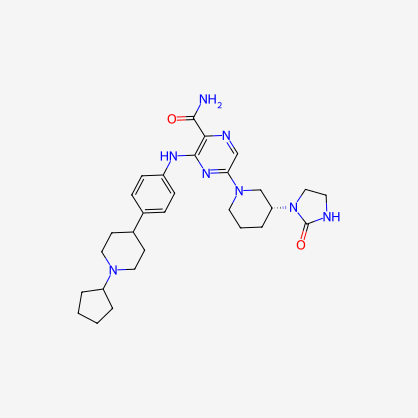 NC(=O)c1ncc(N2CCC[C@@H](N3CCNC3=O)C2)nc1Nc1ccc(C2CCN(C3CCCC3)CC2)cc1